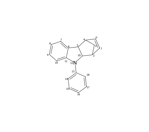 C1=CC2CC1C1c3ccccc3N(c3ccccc3)C21